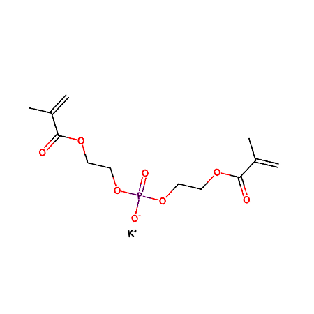 C=C(C)C(=O)OCCOP(=O)([O-])OCCOC(=O)C(=C)C.[K+]